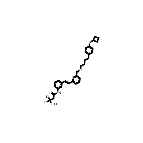 CCC(CC)(CC(=O)Nc1cccc(/C=C/c2cccc(COCCCCc3ccc(OC4CCC4)cc3)n2)c1)C(=O)O